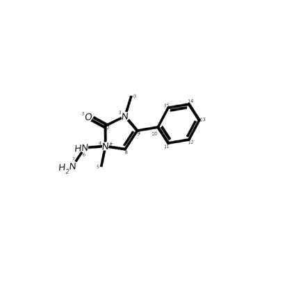 CN1C(=O)[N+](C)(NN)C=C1c1ccccc1